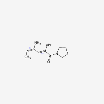 C/C=C(N)\C=C(/CCC)C(=O)N1CCCC1